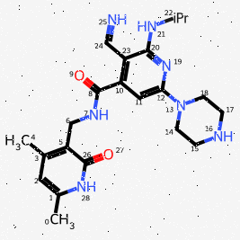 Cc1cc(C)c(CNC(=O)c2cc(N3CCNCC3)nc(NC(C)C)c2C=N)c(=O)[nH]1